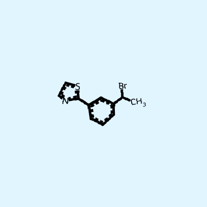 CC(Br)c1cccc(-c2nccs2)c1